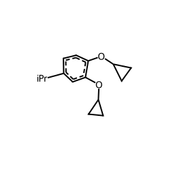 CC(C)c1ccc(OC2CC2)c(OC2CC2)c1